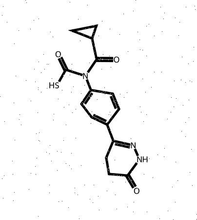 O=C1CCC(c2ccc(N(C(=O)S)C(=O)C3CC3)cc2)=NN1